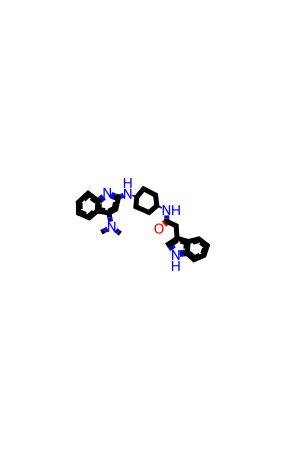 CN(C)c1cc(N[C@H]2CC[C@@H](NC(=O)Cc3c[nH]c4ccccc34)CC2)nc2ccccc12